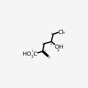 C=C(CC(O)CCl)C(=O)O